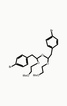 COCCOC(Cc1ccc(Br)cc1)OC(Cc1ccc(Br)cc1)OCCOC